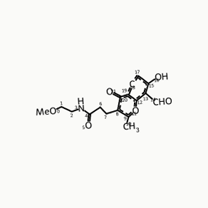 COCCNC(=O)CCc1c(C)oc2c(C=O)c(O)ccc2c1=O